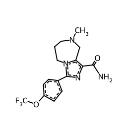 CN1CCCn2c(-c3ccc(OC(F)(F)F)cc3)nc(C(N)=O)c2C1